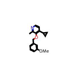 COc1cccc(COc2c(C3CC3)ccnc2C)c1